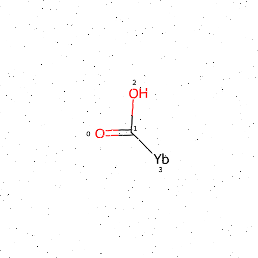 O=[C](O)[Yb]